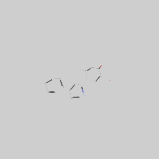 Cc1cc(=O)c(O)cn1-c1cc(-c2ccccc2)ccn1